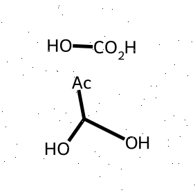 CC(=O)C(O)O.O=C(O)O